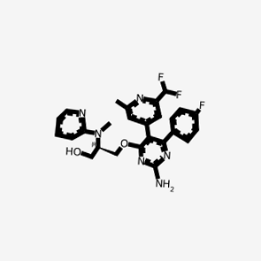 Cc1cc(-c2c(OC[C@@H](CO)N(C)c3ccccn3)nc(N)nc2-c2ccc(F)cc2)cc(C(F)F)n1